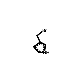 BrCc1cc[nH]c1